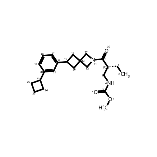 CC[C@H](CNC(=O)OC)C(=O)N1CC2(CC(c3cccc(C4CCC4)c3)C2)C1